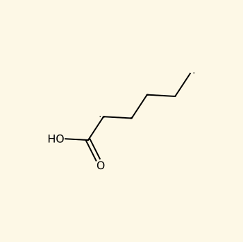 [CH2]CCC[CH]C(=O)O